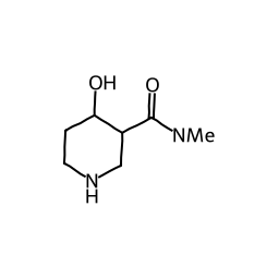 CNC(=O)C1CNCCC1O